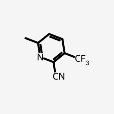 Cc1ccc(C(F)(F)F)c(C#N)n1